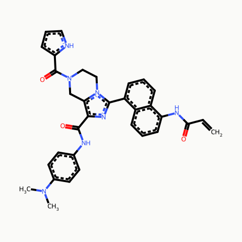 C=CC(=O)Nc1cccc2c(-c3nc(C(=O)Nc4ccc(N(C)C)cc4)c4n3CCN(C(=O)c3ccc[nH]3)C4)cccc12